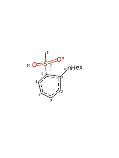 CCCCCCc1[c]cccc1S(C)(=O)=O